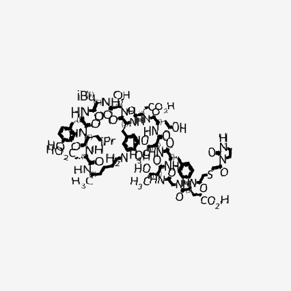 CC[C@H](C)[C@H](NC(=O)[C@H](CO)NC(=O)[C@H](Cc1ccc(O)cc1)NC(=O)[C@H](CC(=O)O)NC(=O)[C@H](CCO)NC(=O)[C@@H](NC(=O)[C@H](Cc1ccccc1)NC(=O)[C@@H](NC(=O)CNC(=O)[C@H](CCC(=O)O)NC(=O)CSCC(=O)N1CCNC1=O)[C@@H](C)O)[C@@H](C)O)C(=O)N[C@@H](Cc1ccc(O)cc1)C(=O)N[C@@H](CC(C)C)C(=O)N[C@@H](CC(=O)O)C(=O)N[C@H](C)CCCCN